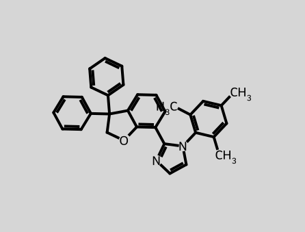 Cc1cc(C)c(-n2ccnc2-c2cccc3c2OCC3(c2ccccc2)c2ccccc2)c(C)c1